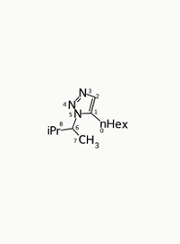 CCCCCCc1cnnn1C(C)C(C)C